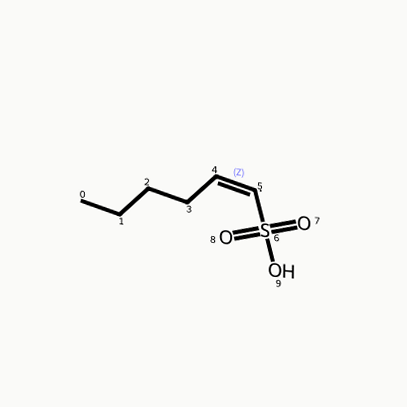 CCCC/C=[C]\S(=O)(=O)O